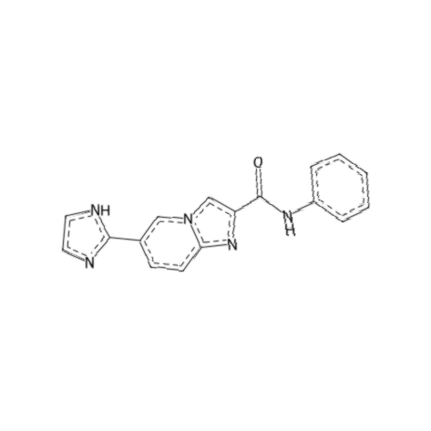 O=C(Nc1ccccc1)c1cn2cc(-c3ncc[nH]3)ccc2n1